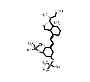 C[C@H](CC=O)[C@H]1CCC2/C(=C/C=C3CC(O[Si](C)(C)C(C)(C)C)CC(O[Si](C)(C)C(C)(C)C)C3)CCC[C@@]21C